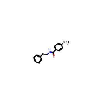 O=C(O)c1ccc(C(=O)NCCc2ccccc2)cc1